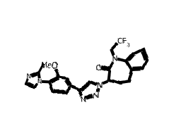 COc1cc(-c2cn(C3CCc4ccccc4N(CC(F)(F)F)C3=O)nn2)ccc1-n1ccnc1C